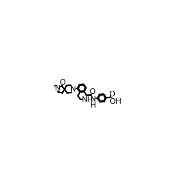 CN1CCC2(CCN(c3cccc4c3CCNC4C(=O)Nc3ccc(C(=O)O)cc3)CC2)C1=O